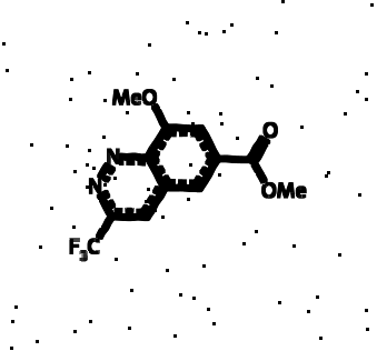 COC(=O)c1cc(OC)c2nnc(C(F)(F)F)cc2c1